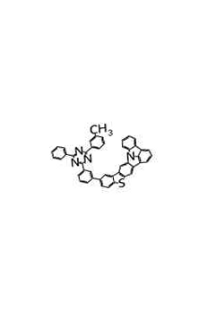 Cc1cccc(-c2nc(-c3ccccc3)nc(-c3cccc(-c4ccc5sc6cc7c8cccc9c%10ccccc%10n(c7cc6c5c4)c98)c3)n2)c1